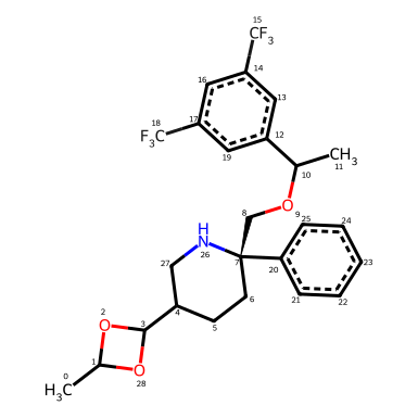 CC1OC(C2CC[C@@](COC(C)c3cc(C(F)(F)F)cc(C(F)(F)F)c3)(c3ccccc3)NC2)O1